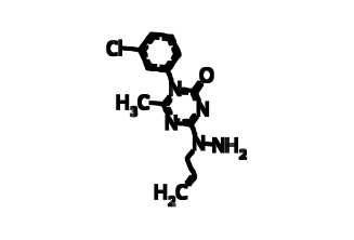 C=CCN(N)c1nc(C)n(-c2cccc(Cl)c2)c(=O)n1